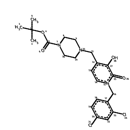 CC(C)(C)OC(=O)N1CCN(Cc2ccn(Cc3ccc(Cl)cc3Cl)c(=O)c2O)CC1